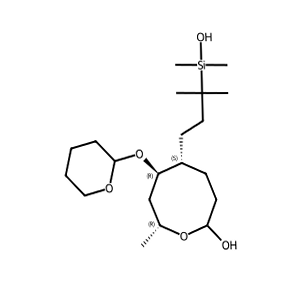 C[C@@H]1C[C@@H](OC2CCCCO2)[C@H](CCC(C)(C)[Si](C)(C)O)CCC(O)O1